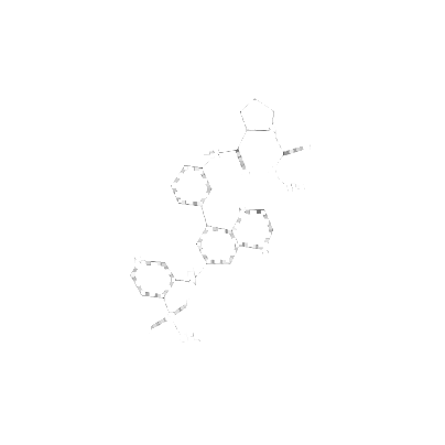 CC(C)(C)OC(=O)N1CCCC1C(=O)Nc1cccc(-c2cc(Nc3cnccc3S(C)(=O)=O)cc3nccnc23)c1